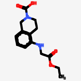 CCOC(=O)CNc1cccc2c1CCN(C(=O)O)C2